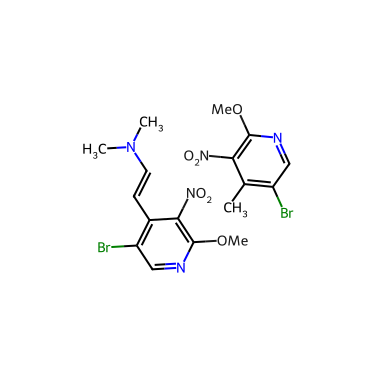 COc1ncc(Br)c(C)c1[N+](=O)[O-].COc1ncc(Br)c(C=CN(C)C)c1[N+](=O)[O-]